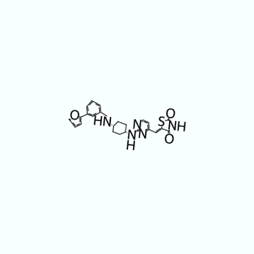 O=C1NC(=O)/C(=C/c2ccnc(N[C@H]3CC[C@@H](NCc4cccc(-c5ccco5)c4)CC3)n2)S1